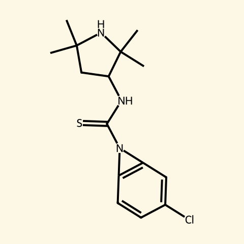 CC1(C)CC(NC(=S)N2c3ccc(Cl)cc32)C(C)(C)N1